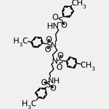 Cc1ccc(S(=O)(=O)NCCCN(CCN(CCCNS(=O)(=O)c2ccc(C)cc2)S(=O)(=O)c2ccc(C)cc2)S(=O)(=O)c2ccc(C)cc2)cc1